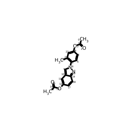 CC(=O)Oc1ccc(-n2cc3cc(OC(C)=O)ccc3n2)c(C)c1